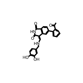 CC(=O)c1ccccc1-c1ccc2c(c1)C(=CNCc1ccc(O)c(O)c1)C(=O)NC2=O